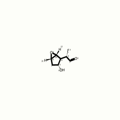 O=C[C@@H](F)C1[C@H](O)C[C@@H]2O[C@H]12